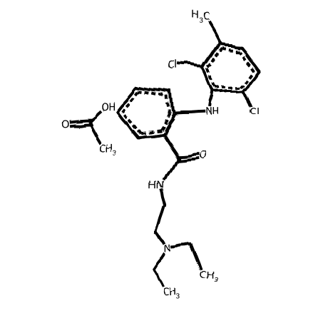 CC(=O)O.CCN(CC)CCNC(=O)c1ccccc1Nc1c(Cl)ccc(C)c1Cl